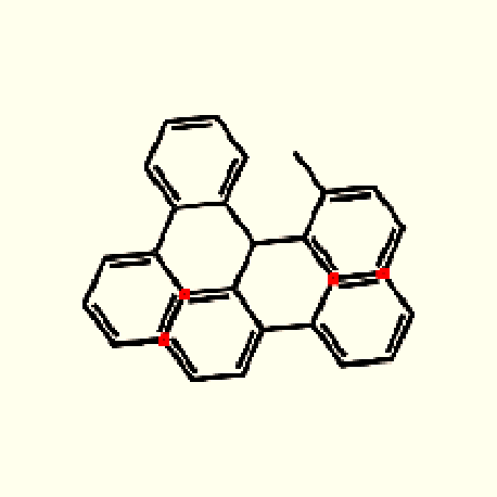 Cc1ccccc1[C](c1ccccc1-c1ccccc1)c1ccccc1-c1ccccc1